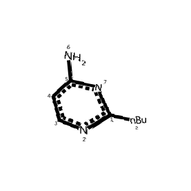 CCCCc1nccc(N)n1